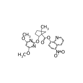 COc1cc(OC)nc(OC2CCC3(C)CC23C(=O)Oc2ccc([N+](=O)[O-])c3cccnc23)n1